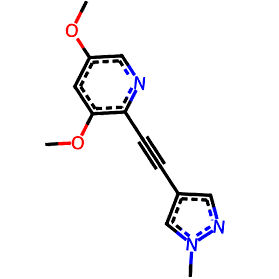 COc1cnc(C#Cc2cnn(C)c2)c(OC)c1